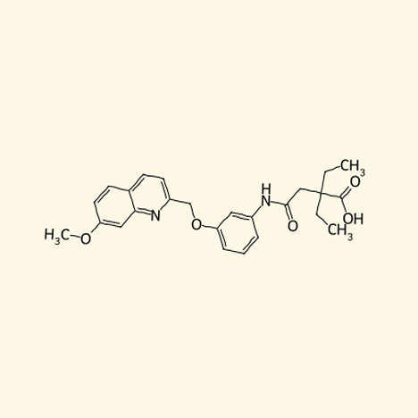 CCC(CC)(CC(=O)Nc1cccc(OCc2ccc3ccc(OC)cc3n2)c1)C(=O)O